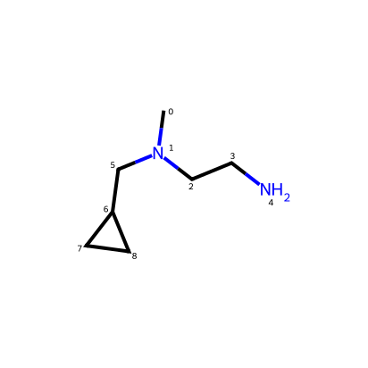 CN(CCN)CC1CC1